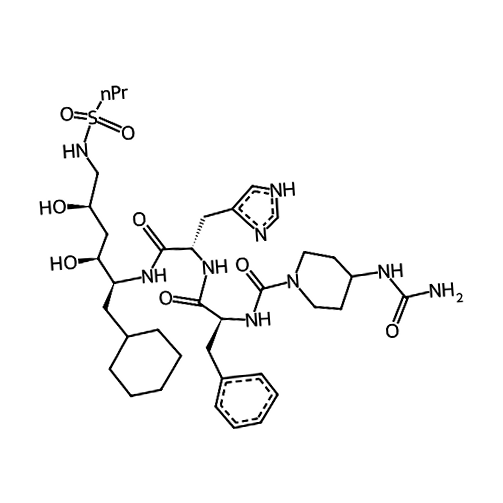 CCCS(=O)(=O)NC[C@H](O)C[C@H](O)[C@H](CC1CCCCC1)NC(=O)[C@H](Cc1c[nH]cn1)NC(=O)[C@H](Cc1ccccc1)NC(=O)N1CCC(NC(N)=O)CC1